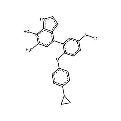 CCSc1ccc(Oc2ccc(C3CC3)cc2)c(-c2cc(C)[n+](O)c3[nH]ccc23)c1